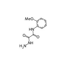 COc1ccccc1NC(=O)C(=O)NN